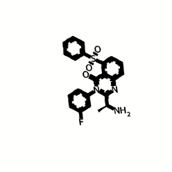 C[C@H](N)c1nc2cccc(S(=O)(=O)c3ccccc3)c2c(=O)n1-c1cccc(F)c1